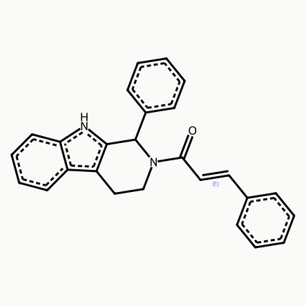 O=C(/C=C/c1ccccc1)N1CCc2c([nH]c3ccccc23)C1c1ccccc1